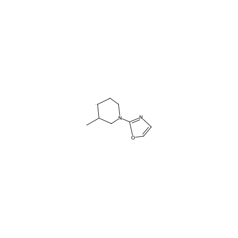 CC1[CH]CCN(c2ncco2)C1